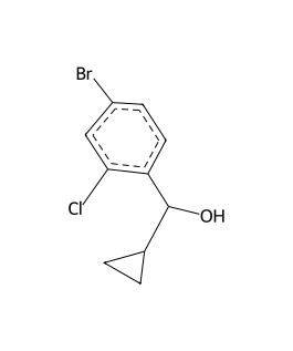 OC(c1ccc(Br)cc1Cl)C1CC1